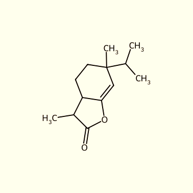 CC1C(=O)OC2=CC(C)(C(C)C)CCC21